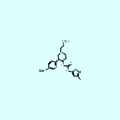 CNCCN1CCC(NC(=O)Nc2cc(C)ns2)C(c2ccc(OC)cn2)C1